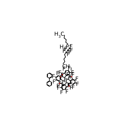 CCCCCC[PH2+]C(F)(F)C(F)(F)C(F)(F)CCCCCC.FC1=C(F)C([B-](C2C(F)=C(F)c3c(F)c(F)c(F)c(F)c32)(C2C(F)=C(F)c3c(F)c(F)c(F)c(F)c32)C2C(F)=C(F)c3c(F)c(F)c(F)c(F)c32)c2c(F)c(F)c(F)c(F)c21.c1ccc(-c2ccccc2)cc1